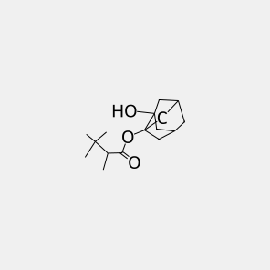 CC(C(=O)OC12CC3CC(CC1(O)C3)C2)C(C)(C)C